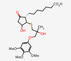 COc1cc(OCC(C)(O)CS[C@H]2C(O)CC(=O)[C@@H]2CCCCCCC(=O)O)cc(OC)c1OC